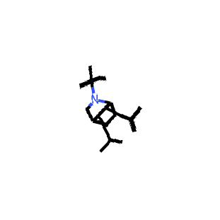 CC(C)C1C2CCC(C1C(C)C)N(C(C)(C)C)C2